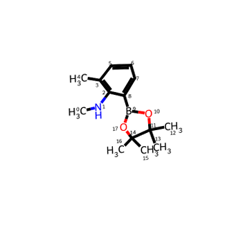 CNc1c(C)cccc1B1OC(C)(C)C(C)(C)O1